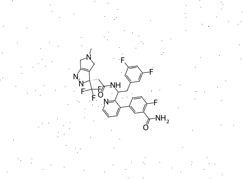 CN1CC2=C(C1)[C@@](CC(=O)NC(Cc1cc(F)cc(F)c1)c1ncccc1-c1ccc(F)c(C(N)=O)c1)(C(F)(F)F)N=N2